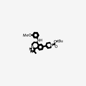 COc1cccc(NC2CCn3nnc(C)c3-c3ccc(C4=CCN(C(=O)OC(C)(C)C)CC4)cc32)c1